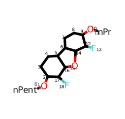 CCCCCOC1CCC2C3CCC(OCCC)C(F)C3OC2C1F